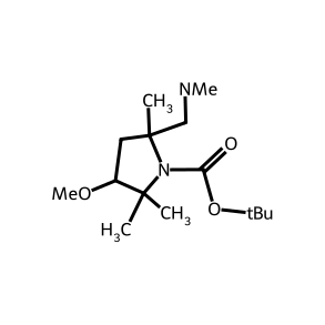 CNCC1(C)CC(OC)C(C)(C)N1C(=O)OC(C)(C)C